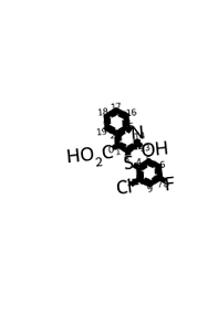 O=C(O)c1c(Sc2ccc(F)cc2Cl)c(O)nc2ccccc12